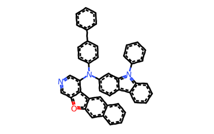 c1ccc(-c2ccc(N(c3ccc4c5ccccc5n(-c5ccccc5)c4c3)c3cncc4oc5cc6ccccc6cc5c34)cc2)cc1